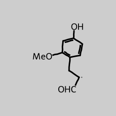 COc1cc(O)ccc1C[CH]C=O